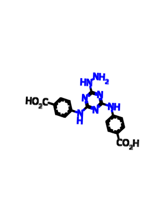 NNc1nc(Nc2ccc(C(=O)O)cc2)nc(Nc2ccc(C(=O)O)cc2)n1